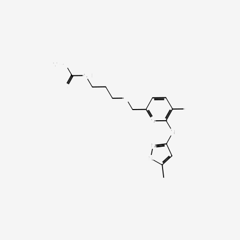 COC(=O)NCCCOCc1ccc(F)c(Nc2cc(C)[nH]n2)n1